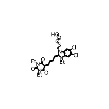 CCN1C(=O)C(=C/C=C/C=C2\N(CC)c3cc(Cl)c(Cl)cc3N2CSOOO)C(=O)N(CC)C1=O